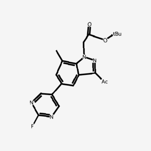 CC(=O)c1nn(CC(=O)OC(C)(C)C)c2c(C)cc(-c3cnc(F)nc3)cc12